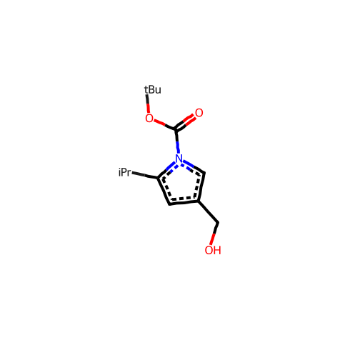 CC(C)c1cc(CO)cn1C(=O)OC(C)(C)C